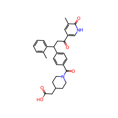 Cc1ccccc1C(CC(=O)c1c[nH]c(=O)c(C)c1)c1ccc(C(=O)N2CCC(CC(=O)O)CC2)cc1